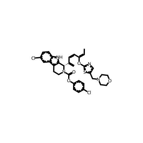 C=C(/C=C\C(=C/C)Oc1ncc(CN2CCOCC2)s1)[C@H]1c2[nH]c3ccc(Cl)cc3c2CCN1C(=O)Oc1ccc(Cl)cc1